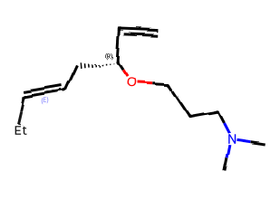 C=C[C@@H](C/C=C/CC)OCCCN(C)C